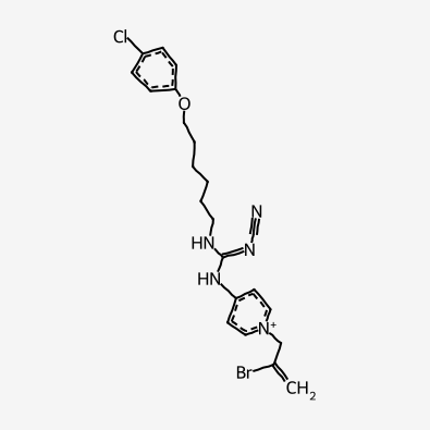 C=C(Br)C[n+]1ccc(NC(=NC#N)NCCCCCCOc2ccc(Cl)cc2)cc1